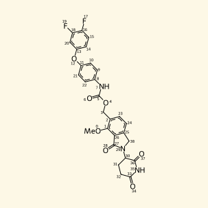 COc1c(COC(=O)Nc2ccc(Oc3ccc(F)c(F)c3)cc2)ccc2c1C(=O)N(C1CCC(=O)NC1=O)C2